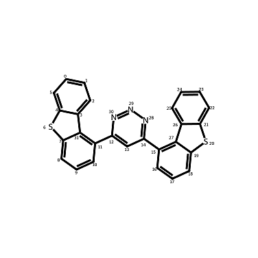 c1ccc2c(c1)sc1cccc(-c3cc(-c4cccc5sc6ccccc6c45)nnn3)c12